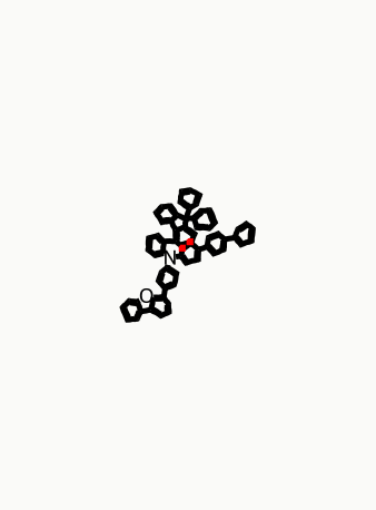 c1ccc(-c2ccc(-c3ccc(N(c4ccc(-c5cccc6c5oc5ccccc56)cc4)c4ccccc4-c4cccc5c4-c4ccccc4C5(c4ccccc4)c4ccccc4)cc3)cc2)cc1